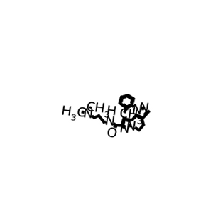 Cc1ccccc1-n1ncc2c1-c1cc(C(=O)NCCCN(C)C)nn1CC2